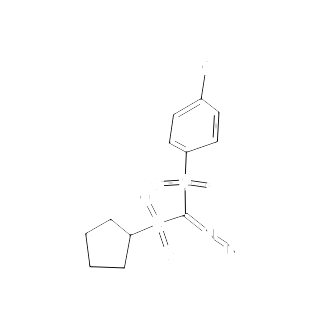 [N-]=[N+]=C(S(=O)(=O)c1ccc(Cl)cc1)S(=O)(=O)C1CCCC1